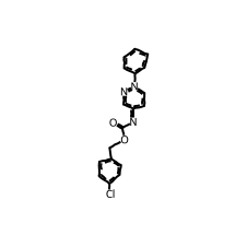 O=C(N=c1ccn(-c2ccccc2)nc1)OCc1ccc(Cl)cc1